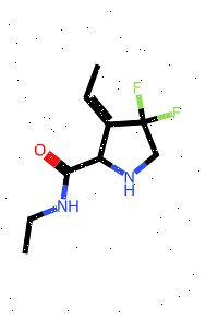 C/C=C1/C(C(=O)NCC)NCC1(F)F